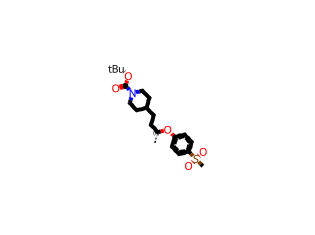 C[C@H](CCC1CCN(C(=O)OC(C)(C)C)CC1)Oc1ccc(S(C)(=O)=O)cc1